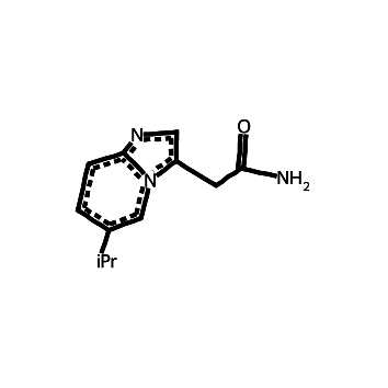 CC(C)c1ccc2ncc(CC(N)=O)n2c1